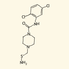 NSCN1CCN(C(=O)Nc2cc(Cl)ccc2Cl)CC1